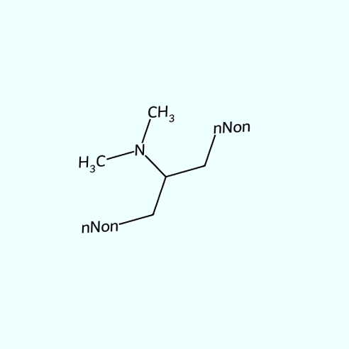 CCCCCCCCCCC(CCCCCCCCCC)N(C)C